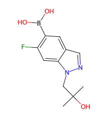 CC(C)(O)Cn1ncc2cc(B(O)O)c(F)cc21